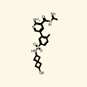 CC(=N)NC(=O)c1cc(-c2cc(S(=O)(=O)NC3CC4(CC(O)C4)C3)ccc2C)cnc1N